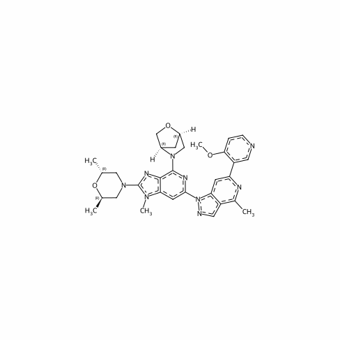 COc1ccncc1-c1cc2c(cnn2-c2cc3c(nc(N4C[C@@H](C)O[C@H](C)C4)n3C)c(N3C[C@H]4C[C@@H]3CO4)n2)c(C)n1